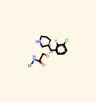 CCNC(=O)CO[C@@H](c1cccc(Cl)c1F)[C@@H]1CCCNC1